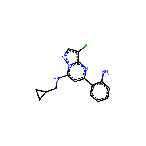 Nc1ccccc1-c1cc(NCC2CC2)n2ncc(Br)c2n1